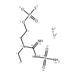 CCN(CCOP(=O)([O-])[S-])C(=N)NS(N)(=O)=O.[Li+].[Li+]